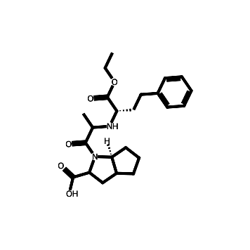 CCOC(=O)[C@H](CCc1ccccc1)NC(C)C(=O)N1C(C(=O)O)CC2CCC[C@@H]21